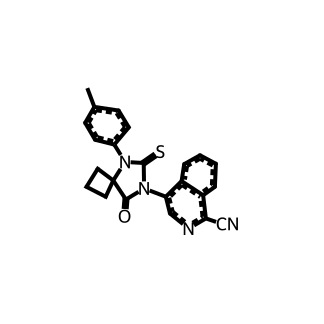 Cc1ccc(N2C(=S)N(c3cnc(C#N)c4ccccc34)C(=O)C23CCC3)cc1